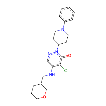 O=c1c(Cl)c(NCC2CCCOC2)cnn1C1CCN(c2ccccc2)CC1